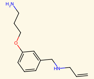 C=CCNCc1cccc(OCCCN)c1